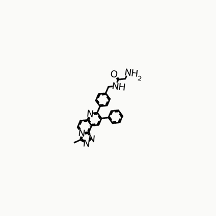 Cc1nnc2c3cc(-c4ccccc4)c(-c4ccc(CNC(=O)CN)cc4)nc3ccn12